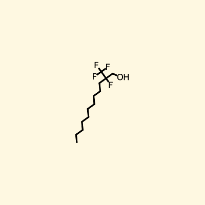 CCCCCCCCCCC(F)(CO)C(F)(F)F